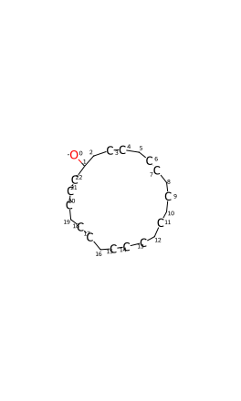 [O]C1CCCCCCCCCCCCCCCCCCCCC1